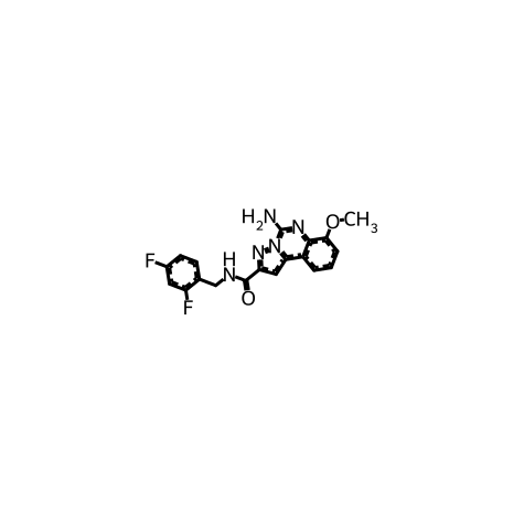 COc1cccc2c1nc(N)n1nc(C(=O)NCc3ccc(F)cc3F)cc21